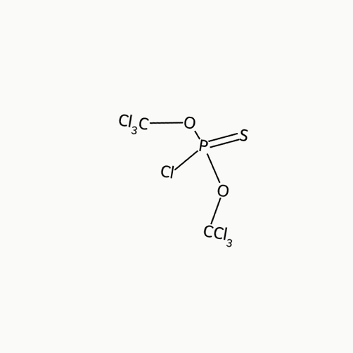 S=P(Cl)(OC(Cl)(Cl)Cl)OC(Cl)(Cl)Cl